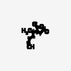 C#CCCC(C)C1CC(=O)OC1=O